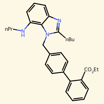 CCCCc1nc2cccc(NCCC)c2n1Cc1ccc(-c2ccccc2C(=O)OCC)cc1